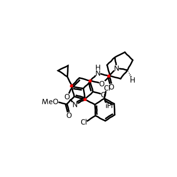 COC(=O)c1ccc(NC(=O)N2C3CC[C@H]2CC(OCc2c(-c4c(Cl)cccc4Cl)noc2C2CC2)C3)c(OC(C)C)c1